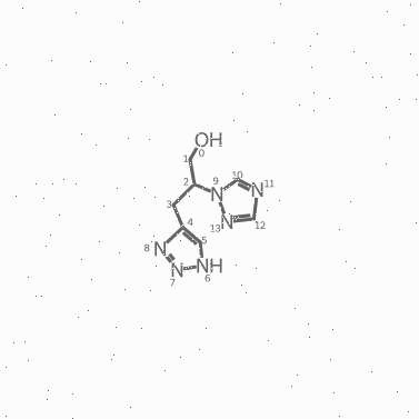 OCC(Cc1c[nH]nn1)n1cncn1